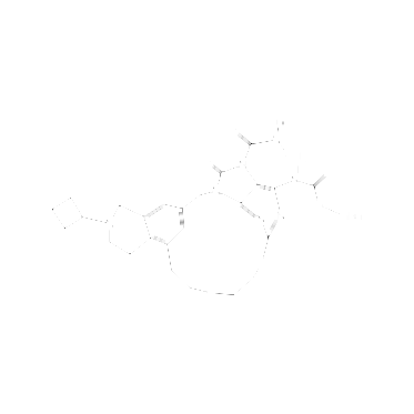 CCCCOC(=O)Nc1nc2nc3c1n(C(=O)N(C)CCC)c(=O)n3Cc1cc(c3c(c1)CN(C1CCC1)CC3)CCCCCO2